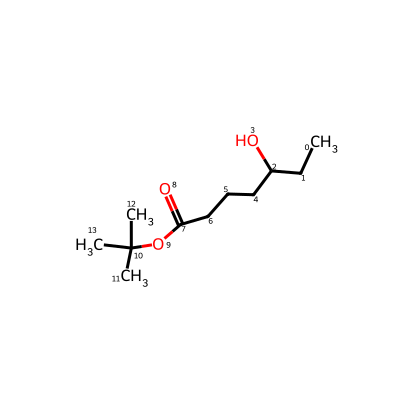 CCC(O)CCCC(=O)OC(C)(C)C